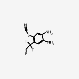 N#CSc1cc(N)c(N)cc1C(F)(F)CF